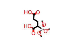 CO[Si](OC)(OC)C(CCC(=O)O)C(=O)O